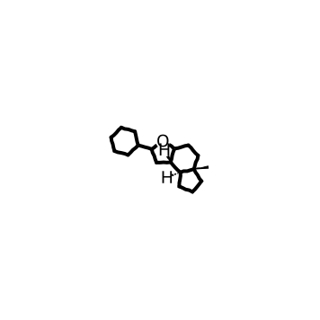 C[C@@]12CCC[C@H]1[C@@H]1CC(C3CCCCC3)OC1CC2